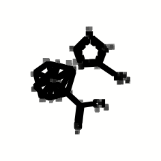 CC(=O)[C]12[CH]3[CH]4[CH]5[CH]1[Fe]45321678[CH]2[CH]1[CH]6[CH]7[CH]28.Nc1nncs1